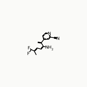 C=C(/C(N)=C\C=C(/C)C(F)F)c1ccnc(C#N)c1